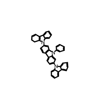 C1=Cc2c(n(-c3ccc4c5ccc(-n6c7ccccc7c7ccccc76)cc5n(-c5ccccc5)c4c3)c3ccccc23)CC1